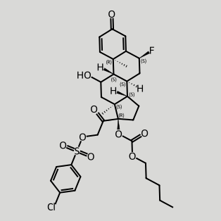 CCCCCOC(=O)O[C@]1(C(=O)COS(=O)(=O)c2ccc(Cl)cc2)CC[C@H]2[C@@H]3C[C@H](F)C4=CC(=O)C=C[C@]4(C)[C@H]3C(O)C[C@@]21C